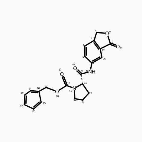 O=C1OCc2ccc(NC(=O)[C@@H]3CCCN3C(=O)OCc3ccccc3)cc21